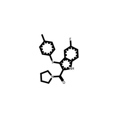 Cc1ccc(Sc2c(C(=O)N3CCCC3)[nH]c3ccc(F)cc23)cc1